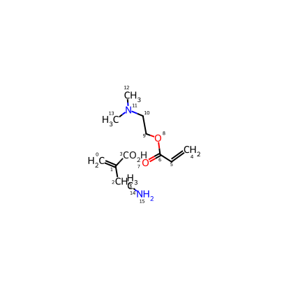 C=C(C)C(=O)O.C=CC(=O)OCCN(C)C.CN